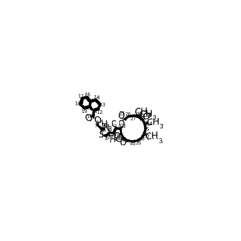 CC(=Cc1csc(COC(=O)c2cccc3ccccc23)n1)C1OC(=O)CCC(C)(C)C(=O)C(C)CC(C)CCCC2OC2(O)C1O